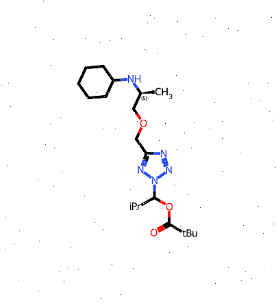 CC(C)C(OC(=O)C(C)(C)C)n1nnc(COC[C@H](C)NC2CCCCC2)n1